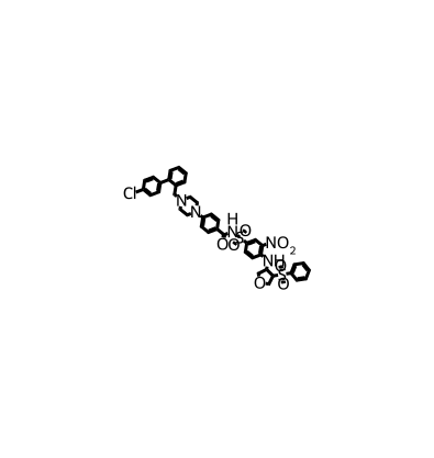 O=C(NS(=O)(=O)c1ccc(NC2COCC2S(=O)(=O)c2ccccc2)c([N+](=O)[O-])c1)c1ccc(N2CCN(Cc3ccccc3-c3ccc(Cl)cc3)CC2)cc1